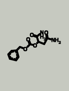 NC(=O)CC(OC(=O)OCc1ccccc1)C(N)=O